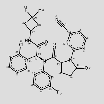 N#Cc1ccnc(N2C(=O)CCC2C(=O)N(c2cccc(F)c2)[C@H](C(=O)NC2CC(F)(F)C2)c2ccccc2Cl)n1